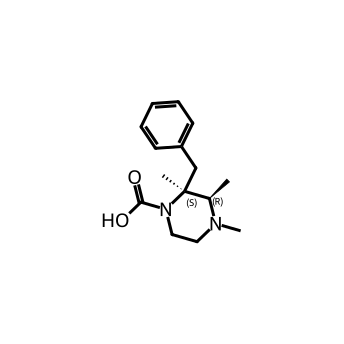 C[C@H]1N(C)CCN(C(=O)O)[C@@]1(C)Cc1ccccc1